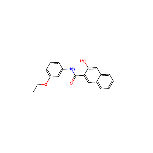 CCOc1cccc(NC(=O)c2cc3ccccc3cc2O)c1